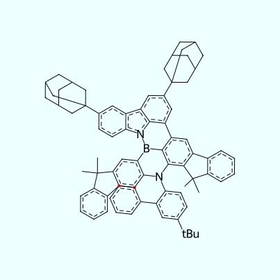 CC(C)(C)c1ccc(N2c3cc4c(cc3B3c5c(cc6c(c52)C(C)(C)c2ccccc2-6)-c2cc(C56CC7CC(CC(C7)C5)C6)cc5c6cc(C78CC9CC(CC(C9)C7)C8)ccc6n3c25)C(C)(C)c2ccccc2-4)c(-c2ccccc2)c1